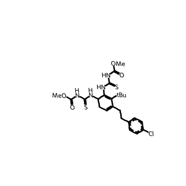 COC(=O)NC(=S)NC1=C(C(C)(C)C)C(CCc2ccc(Cl)cc2)=CCC1NC(=S)NC(=O)OC